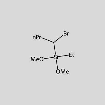 CCCC(Br)[Si](CC)(OC)OC